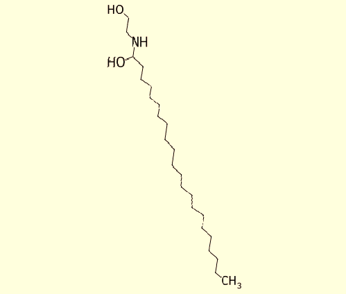 CCCCCCCCCCCCCCCCCCCCCC(O)NCCO